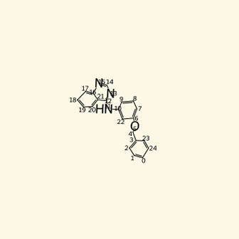 c1ccc(COc2cccc(Nc3ncnc4ccccc34)c2)cc1